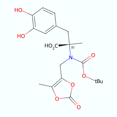 Cc1oc(=O)oc1CN(C(=O)OC(C)(C)C)[C@@](C)(Cc1ccc(O)c(O)c1)C(=O)O